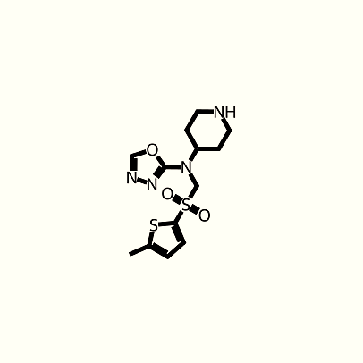 Cc1ccc(S(=O)(=O)CN(c2nnco2)C2CCNCC2)s1